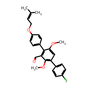 COc1cc(-c2ccc(F)cc2)c(OC)c(C=O)c1-c1ccc(OCC=C(C)C)cc1